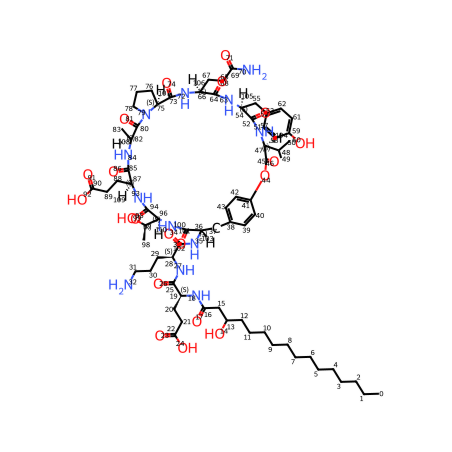 CCCCCCCCCCCCCC(O)CC(=O)N[C@@H](CCC(=O)O)C(=O)N[C@@H](CCCN)C(=O)N[C@H]1Cc2ccc(cc2)OC(=O)[C@H](C(C)C)NC(=O)[C@H](Cc2ccc(O)cc2)NC(=O)[C@H](CCC(N)=O)NC(=O)[C@@H]2CCCN2C(=O)[C@H](C)NC(=O)[C@H](CCC(=O)O)NC(=O)[C@H]([C@@H](C)O)NC1=O